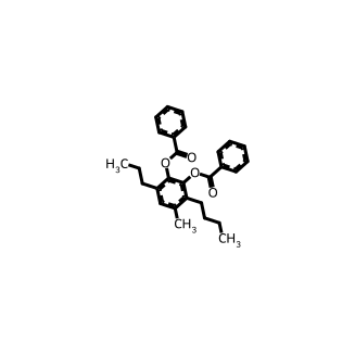 CCCCc1c(C)cc(CCC)c(OC(=O)c2ccccc2)c1OC(=O)c1ccccc1